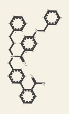 O=C(O)c1ccccc1-c1ccc(CN(CCCc2ccccc2)C(=O)c2ccc(OCc3ccccc3)cc2)cc1